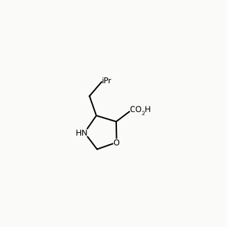 CC(C)CC1NCOC1C(=O)O